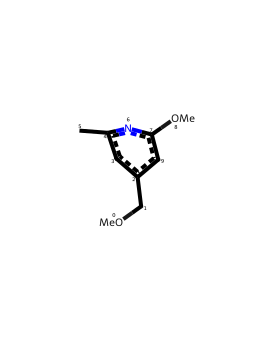 COCc1cc(C)nc(OC)c1